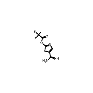 N=C(N)c1cnc(OC(=O)C(F)(F)F)s1